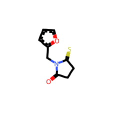 O=C1CCC(=S)N1Cc1ccco1